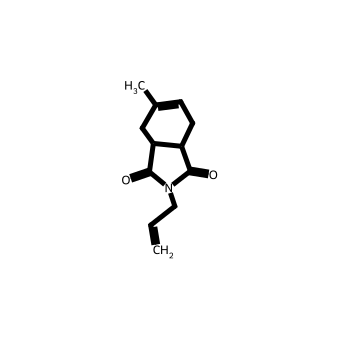 C=CCN1C(=O)C2CC=C(C)CC2C1=O